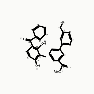 COC(=O)c1cccc(-c2cccc(CBr)c2)c1.Cc1c(O)ccc(C(=O)c2ccccc2)c1O